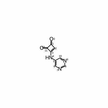 O=c1cc(Nc2cncnc2)c1=O